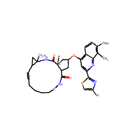 COc1ccc2c(OC3CC4C(=O)NCCCCC/C=C\C5CC5(C(=O)O)NC(=O)[C@@H]4C3)cc(-c3nc(C(C)C)cs3)nc2c1C